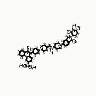 CC/C(=C(/c1ccc(B(O)O)cc1)c1ccc(N2CCC(CNC3CCN(c4ccc5c(c4)CN(C4CCC(=O)NC4=O)C5=O)CC3)CC2)cc1)c1ccccc1